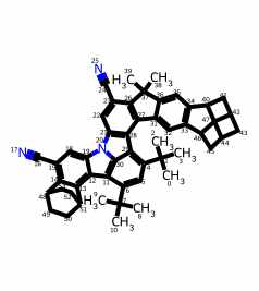 CC(C)(C)c1cc(C(C)(C)C)c2c3c4c(c(C#N)cc3n3c5cc(C#N)c6c(c5c1c23)-c1cc2c(cc1C6(C)C)C1CC3CC5CC2C531)C1CCC4CC1